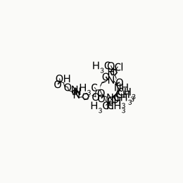 COc1ccc(C[C@H]2NC(=O)/C=C/C[C@@H]([C@H](C)[C@H]3O[C@@H]3c3ccc(Cn4cc(COCCC(=O)O)nn4)cc3)OC(=O)[C@H](CC(C)(C)C)NC(=O)C(C)(C)[C@H](C)NC2=O)cc1Cl